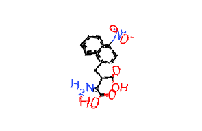 N[C@H](C(=O)O)C(Cc1ccc([N+](=O)[O-])c2ccccc12)C(=O)O